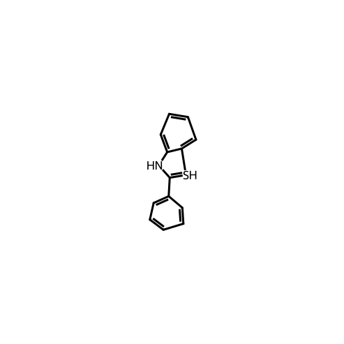 c1ccc(C2=[SH]c3ccccc3N2)cc1